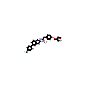 CCOC(=O)C1(NC(=O)Cc2ccc(OCc3ccoc3)cc2)Cc2ccc(-c3ccc(Cl)cc3)cc2C1